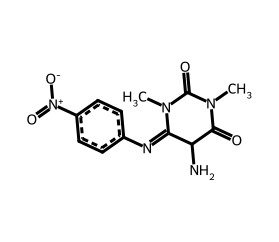 CN1C(=O)C(N)C(=Nc2ccc([N+](=O)[O-])cc2)N(C)C1=O